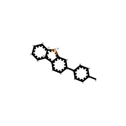 Cc1ccc(-c2ccc3c(c2)sc2ccccc23)cc1